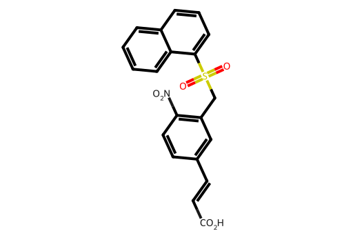 O=C(O)C=Cc1ccc([N+](=O)[O-])c(CS(=O)(=O)c2cccc3ccccc23)c1